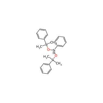 C[Si](C)(O[SiH](O[Si](C)(C)c1ccccc1)c1ccccc1)c1ccccc1